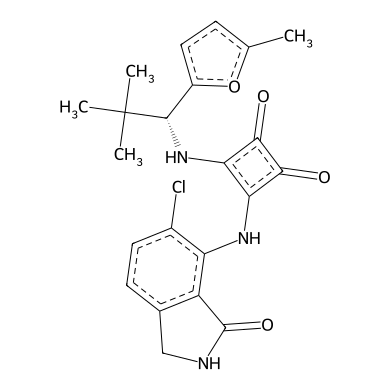 Cc1ccc([C@H](Nc2c(Nc3c(Cl)ccc4c3C(=O)NC4)c(=O)c2=O)C(C)(C)C)o1